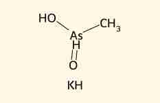 C[AsH](=O)O.[KH]